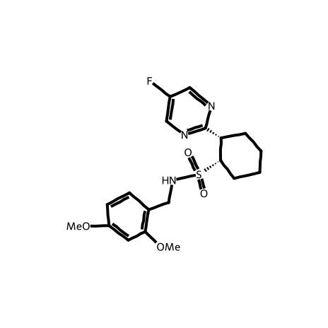 COc1ccc(CNS(=O)(=O)[C@H]2CCCC[C@H]2c2ncc(F)cn2)c(OC)c1